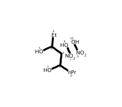 CCCC(O)CC(O)CC.O=[N+]([O-])O.O=[N+]([O-])O